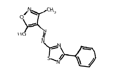 Cc1noc(O)c1N=Nc1nc(-c2ccccc2)ns1